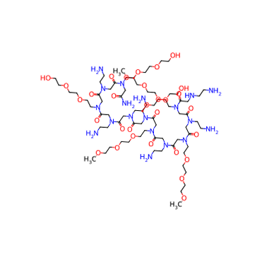 COCCOCCOCCN(CC(=O)N(CCN)CC(=O)N(CCOCCOCCOC)CC(=O)N(CCN)CC(=O)N(CCOCCOCCOC)CC(=O)N(CCN)CC(=O)N(CCOCCOCCO)CC(=O)N(CCN)CC(=O)N(CCOCCOCCO)CC(=O)N(CCN)CC(=O)N(CCOCCOCCO)CC(N)=O)C(=O)CNCCN